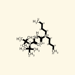 CC(C)(C)N(C(=O)S)C(C)(C)C.CCCCN(CCCC)C(=O)S